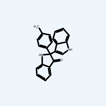 Cc1ccc(C2(c3c[nH]c4ccccc34)Nc3ccccc3C2=O)cc1